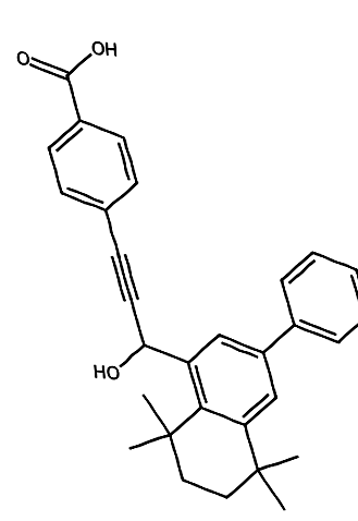 CC1(C)CCC(C)(C)c2c(C(O)C#Cc3ccc(C(=O)O)cc3)cc(-c3ccccc3)cc21